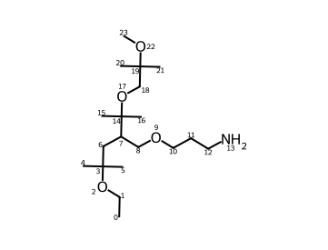 CCOC(C)(C)CC(COCCCN)C(C)(C)OCC(C)(C)OC